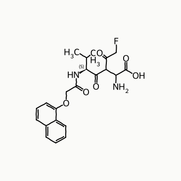 CC(C)[C@H](NC(=O)COc1cccc2ccccc12)C(=O)C(C(=O)CF)C(N)C(=O)O